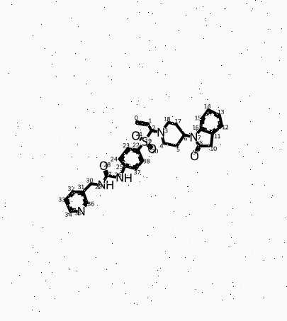 C=CC(N1CCC(N2C(=O)Cc3ccccc32)CC1)S(=O)(=O)c1ccc(NC(=O)NCc2cccnc2)cc1